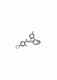 C/C(=C\n1c2c(c3cc(C)ccc31)C1CCC(C2)N1C)c1ccc(Cl)cc1C